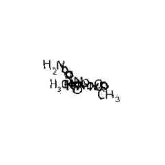 C[C@H](CC(=O)N1CCC(O)(Cn2cnc3c(-c4ccc5c(c4)CC(N)C5)n(C)nc3c2=O)CC1)c1ccccc1